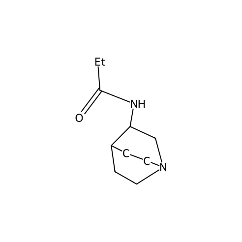 CCC(=O)NC1CN2CCC1CC2